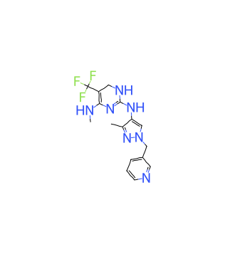 CNC1=C(C(F)(F)F)CNC(Nc2cn(Cc3cccnc3)nc2C)=N1